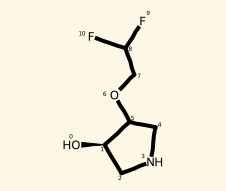 O[C@@H]1CNCC1OCC(F)F